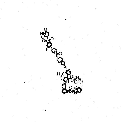 Cc1c(OCC2CC3(CCN(CC(=O)N4CCN(c5cc6c(cc5F)C(=O)N(C5CCC(=O)NC5=O)C6=O)CC4)CC3)C2)cccc1-c1ccc(N2CCc3cccc(C(=O)Nc4nc5ccccc5s4)c3C2)nc1C(=O)OC(C)(C)C